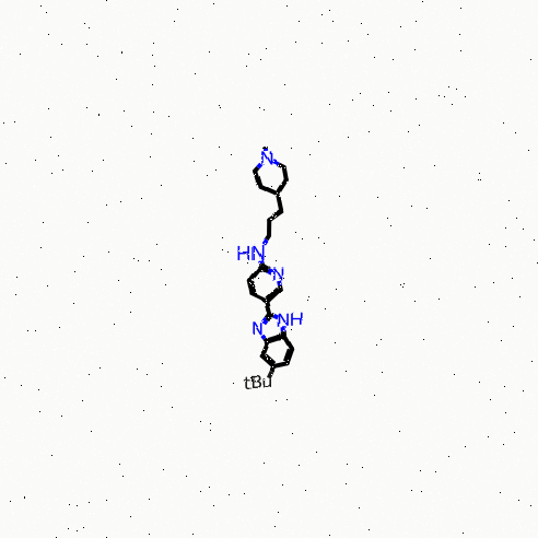 CN1CCC(CCCNc2ccc(-c3nc4cc(C(C)(C)C)ccc4[nH]3)cn2)CC1